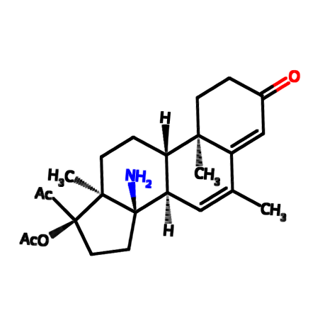 CC(=O)O[C@]1(C(C)=O)CC[C@@]2(N)[C@@H]3C=C(C)C4=CC(=O)CC[C@]4(C)[C@H]3CC[C@]12C